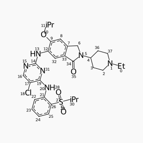 CCN1CCC(N2Cc3cc(OC(C)C)c(Nc4ncc(Cl)c(Nc5ccccc5S(=O)(=O)C(C)C)n4)cc3C2=O)CC1